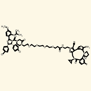 COc1ccc(C2=N[C@@H](c3ccc(Cl)cc3)[C@@H](c3ccc(Cl)cc3)N2C(=O)N2CCN(CCOCCOCCOCCOCCC(=O)NCCn3nc4c(c3C#N)-c3cnc(N)c(c3)N3CCC[C@@H]3c3cc(F)ccc3C(=O)N(C3CC3)C4)C(=O)C2)c(OC(C)C)c1